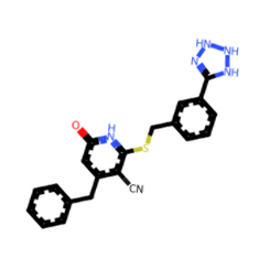 N#Cc1c(Cc2ccccc2)cc(=O)[nH]c1SCc1cccc(C2=NNNN2)c1